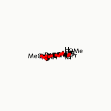 COO/C=N\[C@H](C(=O)N1CCC[C@H]1c1ncc(-c2ccc(-c3ccc(-c4cnc([C@@H](NC(=O)[C@@H](NC(=O)OC)C(C)C)C(C)C)[nH]4)cc3)cc2)[nH]1)C(C)C